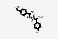 CC(=O)OCc1ccc(C(=O)NS(=O)(=O)C(C=O)c2ccc(F)cc2)cn1